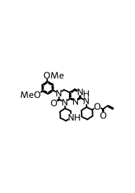 C=CC(=O)OC1CCCCC1Nc1ncc2c(n1)N(C1CCCNC1)C(=O)N(c1cc(OC)cc(OC)c1)C2